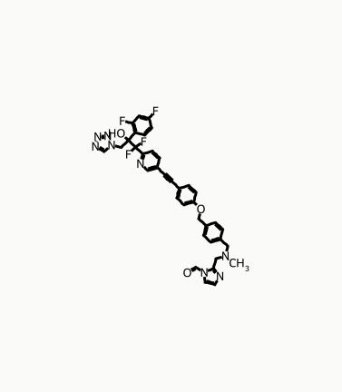 CN(Cc1ccc(COc2ccc(C#Cc3ccc(C(F)(F)C(O)(Cn4cnnn4)c4ccc(F)cc4F)nc3)cc2)cc1)Cc1nccn1C=O